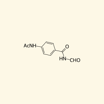 CC(=O)Nc1ccc(C(=O)NC=O)cc1